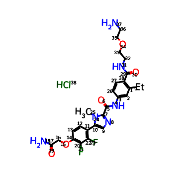 CCc1cc(NC(=O)c2ncc(-c3ccc(OCC(N)=O)c(F)c3F)n2C)ccc1C(=O)NCCOCCN.Cl